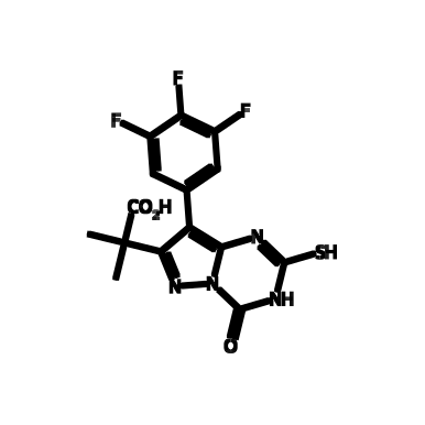 CC(C)(C(=O)O)c1nn2c(=O)[nH]c(S)nc2c1-c1cc(F)c(F)c(F)c1